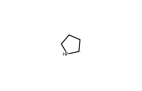 [CH]1CCCP1